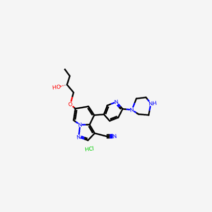 CC[C@@H](O)COc1cc(-c2ccc(N3CCNCC3)nc2)c2c(C#N)cnn2c1.Cl